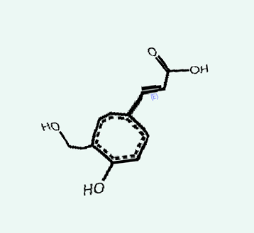 O=C(O)/C=C/c1ccc(O)c(CO)c1